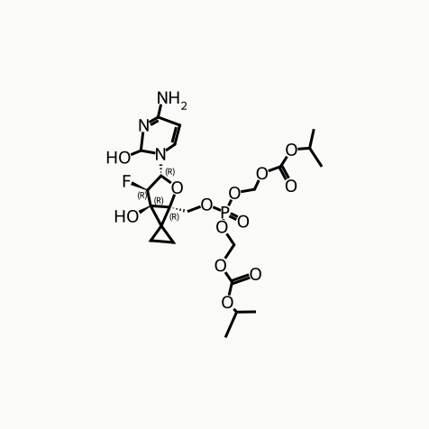 CC(C)OC(=O)OCOP(=O)(OCOC(=O)OC(C)C)OC[C@@]12O[C@@H](N3C=CC(N)=NC3O)[C@H](F)[C@@]1(O)C21CC1